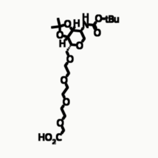 CC(C)(C)OC(=O)N[C@H]1CO[C@H](COCCOCCOCCOCC(=O)O)[C@@H]2OC(C)(C)O[C@@H]21